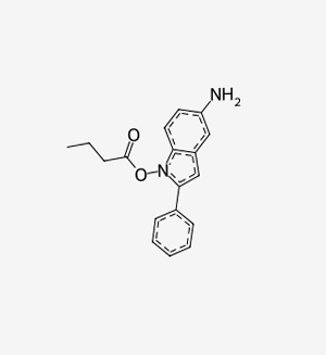 CCCC(=O)On1c(-c2ccccc2)cc2cc(N)ccc21